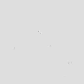 CCCSC(SCCC)c1ccccc1Oc1ccc2ccccc2n1.Cl